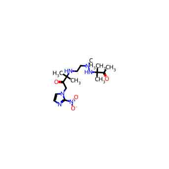 CC(=O)C(C)(C)NN(C)CCNC(C)(C)C(=O)Cn1ccnc1[N+](=O)[O-]